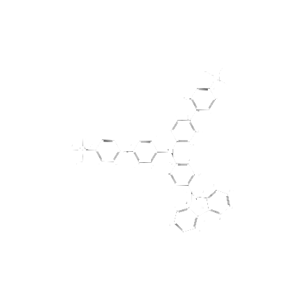 C[Si](C)(C)c1ccc(-c2ccc(N(c3ccc(-c4ccc([Si](C)(C)C)cc4)cc3)c3ccc(-n4c5ccccc5c5ccccc54)cc3)cc2)cc1